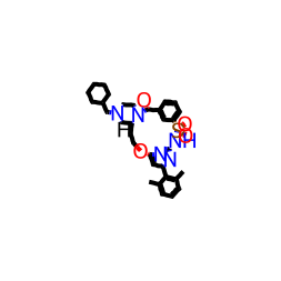 Cc1cccc(C)c1-c1cc2nc(n1)NS(=O)(=O)c1cccc(c1)C(=O)N1CCN(CC3CCCCC3)C[C@@H]1CCO2